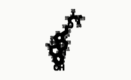 C[C@@H]1Cc2cc(O)ccc2[C@H]2CC[C@]3(C)/C(=C/COC[C@@H](C)N(C)C)CC[C@H]3[C@H]12